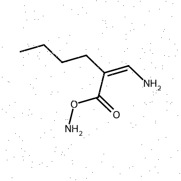 CCCCC(=CN)C(=O)ON